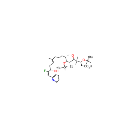 CC[C@@H](C(=O)C(C)(C)[C@H](CC(=O)O)O[Si](C)(C)C(C)(C)C)[C@@H](O[Si](C)(C)C(C)(C)C)[C@@H](C)CCC/C(C)=C/C[C@H](O)/C(F)=C\c1ccccn1